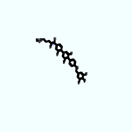 CCCC/C(F)=C(\F)c1ccc(-c2cc(F)c(-c3ccc(OCc4cc(F)c(F)c(F)c4)cc3)c(F)c2)c(F)c1